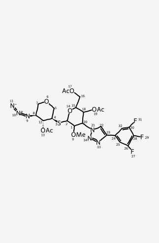 COC1C(S[C@@H]2COC[C@H](N=[N+]=[N-])[C@H]2OC(C)=O)OC(COC(C)=O)C(OC(C)=O)C1n1cc(-c2cc(F)c(F)c(F)c2)nn1